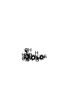 NC(=O)c1ncn(-c2ccc(NC(=O)c3ccc(F)cc3)cc2)c1C(=O)NCCO